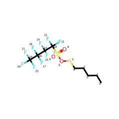 CCCCCSOS(=O)(=O)C(F)(F)C(F)(F)C(F)(F)C(F)(F)F